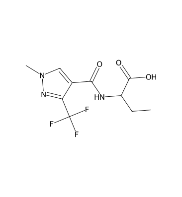 CCC(NC(=O)c1cn(C)nc1C(F)(F)F)C(=O)O